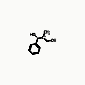 [CH2-][C+](CO)[C@@H](O)c1ccccc1